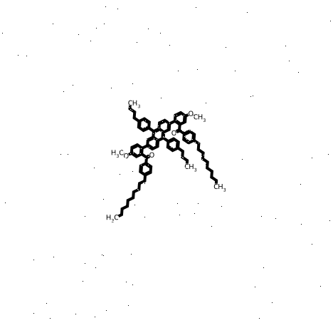 CCCCCCCCCCc1ccc(C(=O)c2cc(OC)ccc2-c2ccc3c(-c4ccc(CCCC)cc4)c4cc(-c5ccc(OC)cc5C(=O)c5ccc(CCCCCCCCCC)cc5)ccc4c(-c4ccc(CCCC)cc4)c3c2)cc1